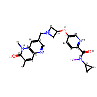 Cc1cc2ncc(CN3CC(Oc4ccc(C(=O)N(I)C5CC5)nc4)C3)cc2n(C)c1=O